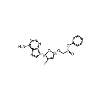 Nc1ncnc2c1ncn2[C@@H]1O[C@H](OC[P](=O)Oc2ccccc2)C=C1F